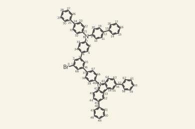 Brc1cc(-c2ccc(N(c3ccc(-c4ccccc4)cc3)c3ccc(-c4ccccc4)cc3)cc2)cc(-c2ccc(-n3c4ccc(-c5ccccc5)cc4c4cc(-c5ccccc5)ccc43)cc2)c1